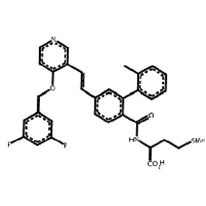 CSCCC(NC(=O)c1ccc(C=Cc2cnccc2OCc2cc(F)cc(F)c2)cc1-c1ccccc1C)C(=O)O